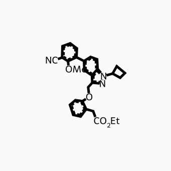 CCOC(=O)Cc1ccccc1OCc1nn(C2CCC2)c2ccc(-c3cccc(C#N)c3OC)cc12